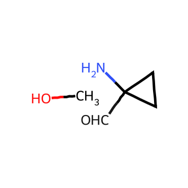 CO.NC1(C=O)CC1